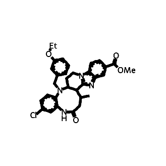 CCOc1cccc(CN2c3ccc(Cl)cc3NC(=O)CC(C)C3c4nc5cc(C(=O)OC)ccc5n4CCC32)c1